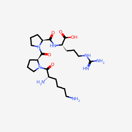 N=C(N)NCCC[C@H](NC(=O)[C@@H]1CCCN1C(=O)[C@@H]1CCCN1C(=O)[C@@H](N)CCCCN)C(=O)O